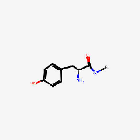 CC[N]C(=O)[C@@H](N)Cc1ccc(O)cc1